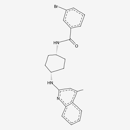 Cc1cc(N[C@H]2CC[C@@H](NC(=O)c3cccc(Br)c3)CC2)nc2ccccc12